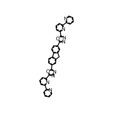 c1ccc(-c2cccc(-c3nnc(-c4ccc5c(c4)Cc4cc(-c6nnc(-c7cccc(-c8ccccn8)n7)o6)ccc4-5)o3)n2)nc1